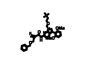 COc1cccc(OC)c1-c1cn(COCC[Si](C)(C)C)c2nc(NC(=O)C3C(COCc4ccccc4)[C@H]3F)ccc12